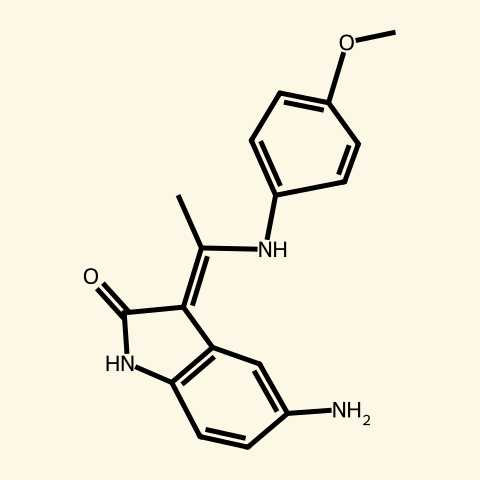 COc1ccc(NC(C)=C2C(=O)Nc3ccc(N)cc32)cc1